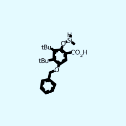 C[SiH](C)Oc1c(C(=O)O)cc(OCc2ccccc2)c(C(C)(C)C)c1C(C)(C)C